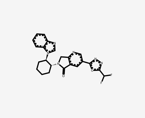 O=C1c2cc(-c3nnc(C(F)F)o3)cnc2CN1[C@@H]1CCCC[C@H]1n1cnc2ccccc21